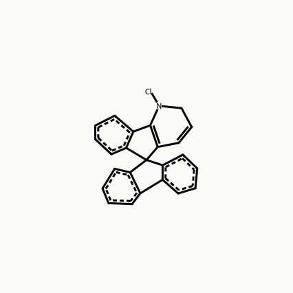 ClN1CC=CC2=C1c1ccccc1C21c2ccccc2-c2ccccc21